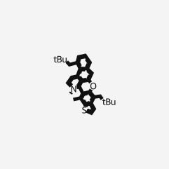 Cc1c2c(c(CC(C)(C)C)c3ccsc13)Oc1cc3cccc(CC(C)(C)C)c3c3cc[n+](C)c-2c13